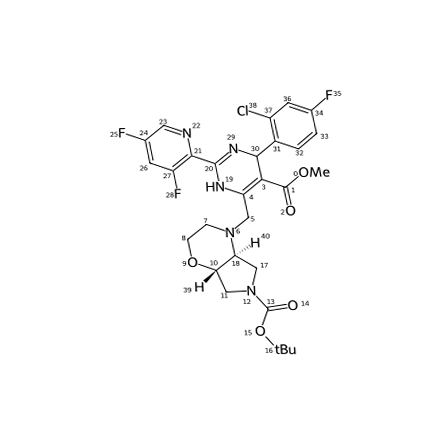 COC(=O)C1=C(CN2CCO[C@H]3CN(C(=O)OC(C)(C)C)C[C@@H]32)NC(c2ncc(F)cc2F)=NC1c1ccc(F)cc1Cl